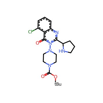 CC(C)(C)OC(=O)N1CCN(n2c(C3CCCN3)nc3cccc(Cl)c3c2=O)CC1